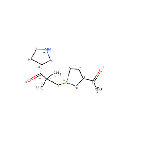 CC(C)(C)C(=O)C1CCN(CC(C)(C)C(=O)[C@@H]2CCNC2)C1